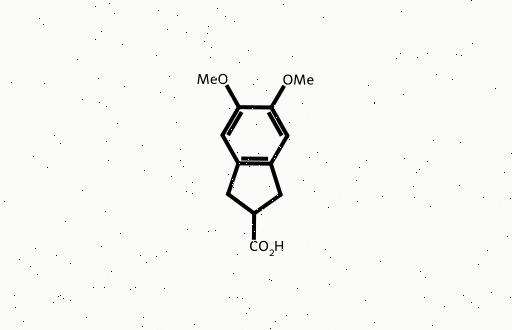 COc1cc2c(cc1OC)CC(C(=O)O)C2